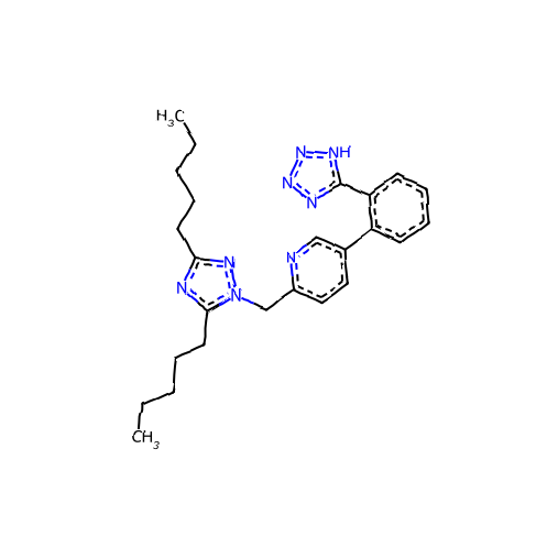 CCCCCc1nc(CCCCC)n(Cc2ccc(-c3ccccc3-c3nnn[nH]3)cn2)n1